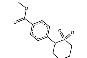 COC(=O)c1ccc(N2CCCCS2(=O)=O)cc1